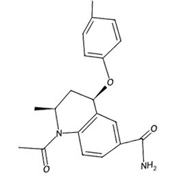 CC(=O)N1c2ccc(C(N)=O)cc2[C@H](Oc2ccc(F)cc2)C[C@@H]1C